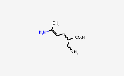 C=C/C(=C\C=C(/C)N)C(=O)O